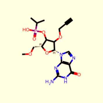 C#CCOC1C(OP(=O)(O)C(C)C)[C@@H](COC)O[C@H]1n1cnc2c(=O)[nH]c(N)nc21